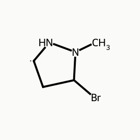 CN1N[CH]CC1Br